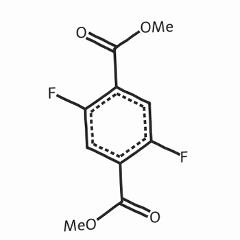 COC(=O)c1cc(F)c(C(=O)OC)cc1F